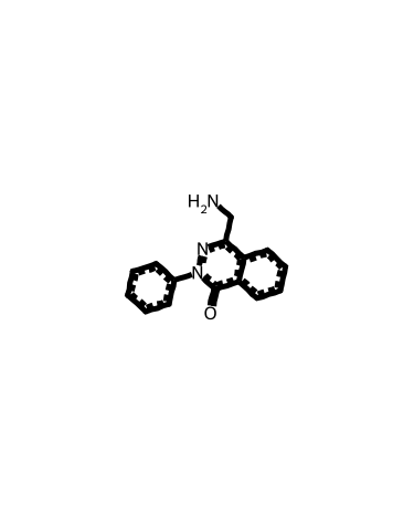 NCc1nn(-c2ccccc2)c(=O)c2ccccc12